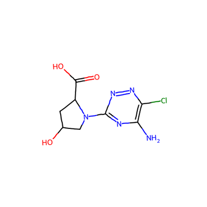 Nc1nc(N2CC(O)CC2C(=O)O)nnc1Cl